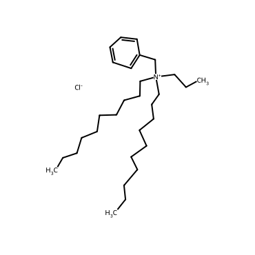 CCCCCCCCCC[N+](CCC)(CCCCCCCCCC)Cc1ccccc1.[Cl-]